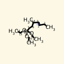 CC/C=C/C(C)CC[Si](OCC)(OCC)OCC